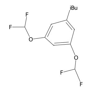 [CH2]C(CC)c1cc(OC(F)F)cc(OC(F)F)c1